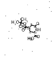 CC(C)(C)OC(=O)N1CC(=O)N[C@H](C(=O)O)C1